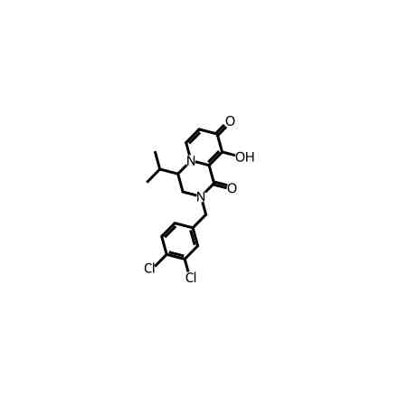 CC(C)C1CN(Cc2ccc(Cl)c(Cl)c2)C(=O)c2c(O)c(=O)ccn21